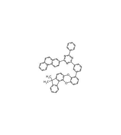 CC1(C)c2ccccc2-c2c1ccc1c2Oc2cccc(-c3cccc(-c4nc(-c5ccccc5)nc(-c5ccc6c(ccc7ccccc76)c5)n4)c3)c2O1